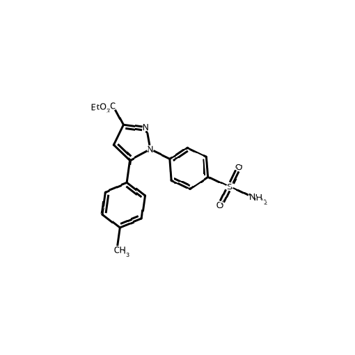 CCOC(=O)c1cc(-c2ccc(C)cc2)n(-c2ccc(S(N)(=O)=O)cc2)n1